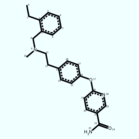 CCc1ccccc1CN(C)CCc1ccc(Oc2ccc(C(N)=O)cn2)cc1